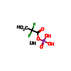 O=C(O)C(F)(F)C(=O)OP(=O)(O)O.[LiH]